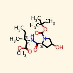 CC[C@H](C)[C@H](NC(=O)[C@@H]1CC(O)CN1C(=O)OC(C)(C)C)C(=O)OC